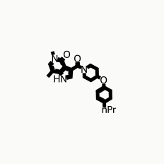 CCCC1=CC=C(OC2CCN(C(=O)c3c[nH]c4c(C)cn(C)c(=O)c34)CC2)CC1